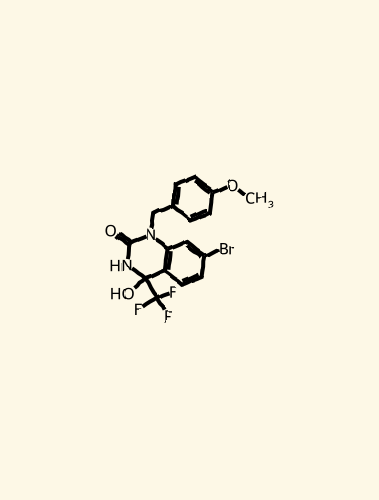 COc1ccc(CN2C(=O)NC(O)(C(F)(F)F)c3ccc(Br)cc32)cc1